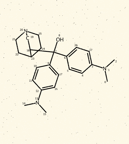 CN(C)c1ccc(C(O)(c2ccc(N(C)C)cc2)C2CN3CCC2CC3)cc1